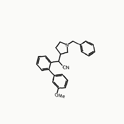 COc1cccc(-c2ccccc2C(C#N)C2CCN(Cc3ccccc3)C2)c1